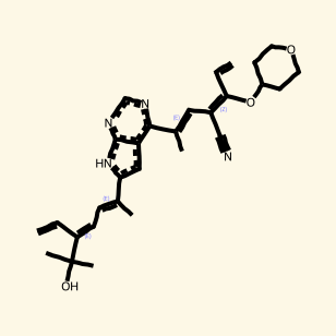 C=C/C(OC1CCOCC1)=C(C#N)\C=C(/C)c1ncnc2[nH]c(/C(C)=C/C=C(\C=C)C(C)(C)O)cc12